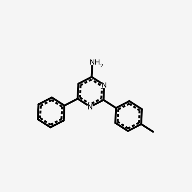 Cc1ccc(-c2nc(N)cc(-c3ccccc3)n2)cc1